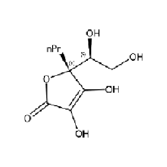 CCC[C@]1([C@@H](O)CO)OC(=O)C(O)=C1O